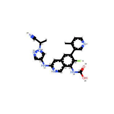 Cc1ccncc1-c1cc2cc(Nc3cnn(C(C)C#N)c3)ncc2c(NC(=O)O)c1F